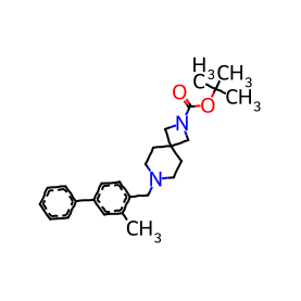 Cc1cc(-c2ccccc2)ccc1CN1CCC2(CC1)CN(C(=O)OC(C)(C)C)C2